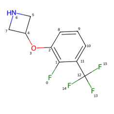 Fc1c(OC2CNC2)cccc1C(F)(F)F